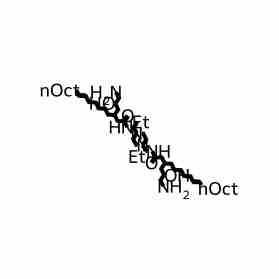 CCCCCCCCC=CCCCCCC(CC(=O)NC(CC)N1CCN(C(CC)NC(=O)CC(CCCCCC=CCCCCCCCC)CC(O)CN)CC1)CC(O)CN